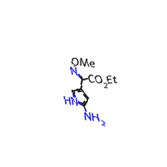 CCOC(=O)C(=NOC)c1c[nH]c(N)c1